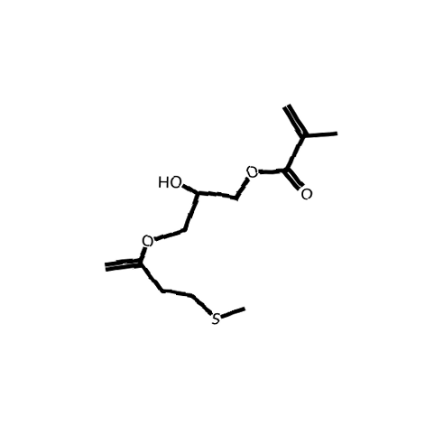 C=C(CCSC)OCC(O)COC(=O)C(=C)C